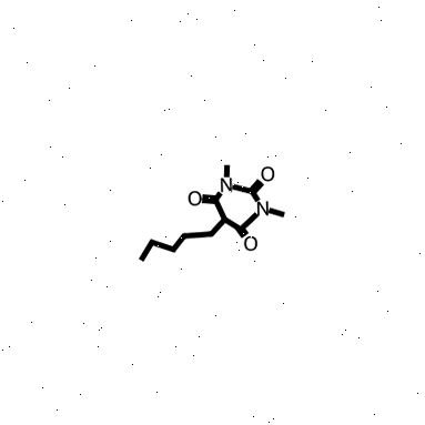 CCCCCC1C(=O)N(C)C(=O)N(C)C1=O